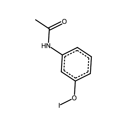 CC(=O)Nc1cccc(OI)c1